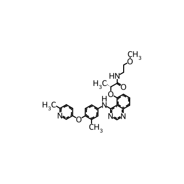 COCCNC(=O)[C@@H](C)Oc1cccc2ncnc(Nc3ccc(Oc4ccc(C)nc4)c(C)c3)c12